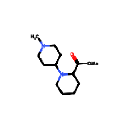 COC(=O)C1CCCCN1C1CCN(C)CC1